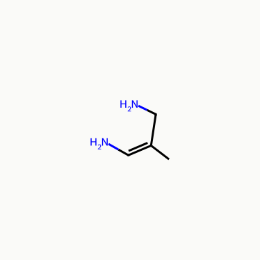 CC(=CN)CN